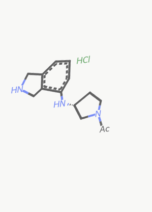 CC(=O)N1CC[C@@H](Nc2cccc3c2CNC3)C1.Cl